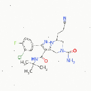 CC(C)(C)NC(=O)c1c(-c2ccc(F)c(Cl)c2)nn2c1CN(C(N)=O)CC2CCC#N